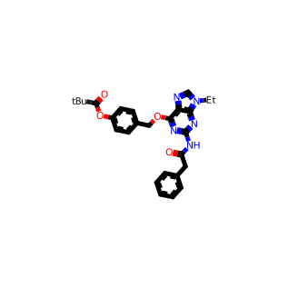 CCn1cnc2c(OCc3ccc(OC(=O)C(C)(C)C)cc3)nc(NC(=O)Cc3ccccc3)nc21